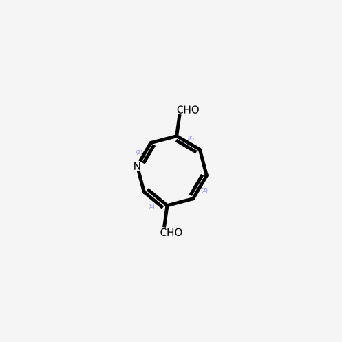 O=CC1=C/C=C\C(C=O)=C/N=C\1